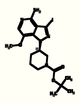 COc1cnc(N)c2c(I)nn([C@@H]3CCCN(C(=O)OC(C)(C)C)C3)c12